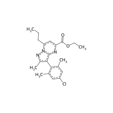 CCCc1cc(C(=O)OCC)nc2c(-c3c(C)cc(Cl)cc3C)c(C)nn12